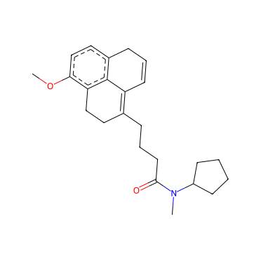 COc1ccc2c3c1CCC(CCCC(=O)N(C)C1CCCC1)=C3C=CC2